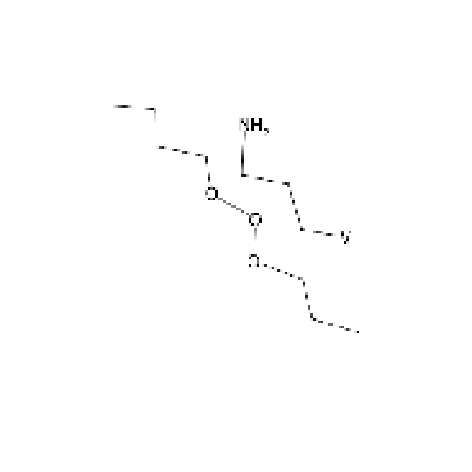 CCCCOOOCCCC.NCC[CH2][V]